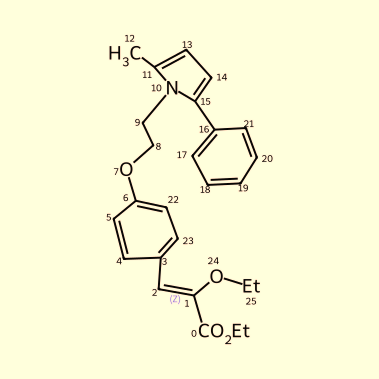 CCOC(=O)/C(=C/c1ccc(OCCn2c(C)ccc2-c2ccccc2)cc1)OCC